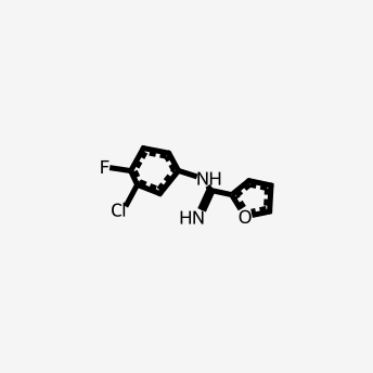 N=C(Nc1ccc(F)c(Cl)c1)c1ccco1